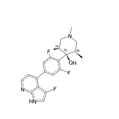 C[C@@H]1CN(C)C[C@H](C)[C@@]1(O)c1c(F)cc(-c2ccnc3[nH]cc(F)c23)cc1F